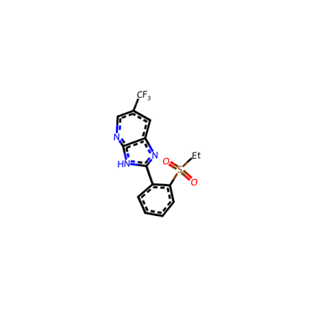 CCS(=O)(=O)c1ccccc1-c1nc2cc(C(F)(F)F)cnc2[nH]1